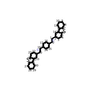 C(=C\c1ccc2sc3ccccc3c2c1)/c1ccc(/C=C/c2ccc3sc4ccccc4c3c2)cc1